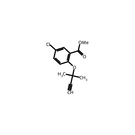 C#CC(C)(C)Oc1ccc(Cl)cc1C(=O)OC